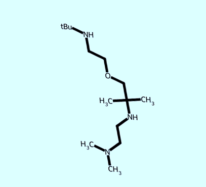 CN(C)CCNC(C)(C)COCCNC(C)(C)C